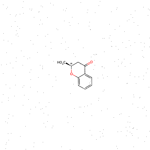 O=C1C[C@H](C(=O)O)Oc2ccccc21